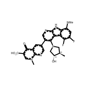 CNc1cc(F)c(F)c2c1[nH]c1ncc(-c3cnc4c(c3)c(=O)c(C(=O)O)cn4C)c(N3C[C@@H](C)[C@H](O)C3)c12